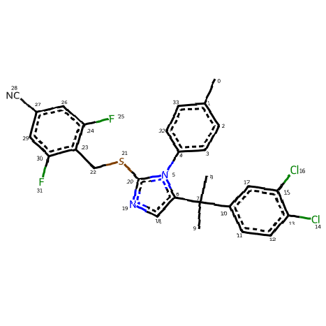 Cc1ccc(-n2c(C(C)(C)c3ccc(Cl)c(Cl)c3)cnc2SCc2c(F)cc(C#N)cc2F)cc1